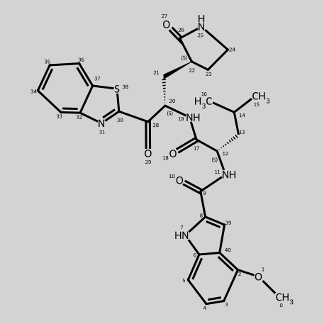 COc1cccc2[nH]c(C(=O)N[C@@H](CC(C)C)C(=O)N[C@@H](C[C@@H]3CCNC3=O)C(=O)c3nc4ccccc4s3)cc12